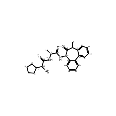 CC1C(=O)N(NC(=O)[C@H](C)NC(=O)C(O)C2CCCC2)c2ccccc2-c2ccccc21